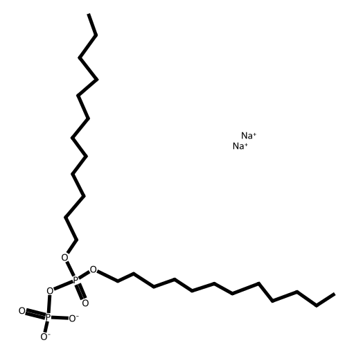 CCCCCCCCCCCCOP(=O)(OCCCCCCCCCCCC)OP(=O)([O-])[O-].[Na+].[Na+]